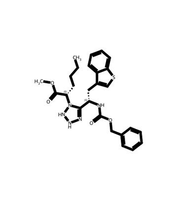 CCCC[C@@H](C(=O)OC)N1NNN=C1[C@H](Cc1csc2ccccc12)NC(=O)OCc1ccccc1